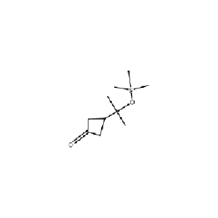 CC(C)(O[Si](C)(C)C)C1CC(=O)C1